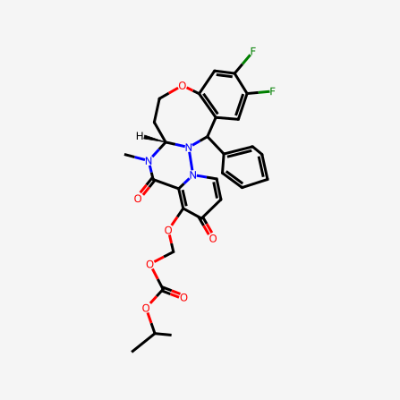 CC(C)OC(=O)OCOc1c2n(ccc1=O)N1C(c3ccccc3)c3cc(F)c(F)cc3OCC[C@H]1N(C)C2=O